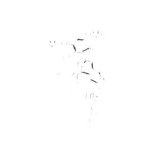 CCOCCNCc1cc2c(N(C)CC(F)(F)F)nc(-c3c(Cl)c(OC)cc(OC)c3Cl)cc2cn1